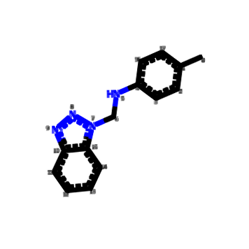 Cc1ccc(NCn2nnc3ccccc32)cc1